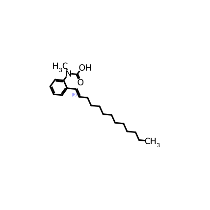 CCCCCCCCCCC/C=C/c1ccccc1N(C)C(=O)O